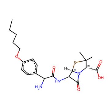 CCCCCOc1ccc(C(N)C(=O)NC2C(=O)N3[C@@H]2SC(C)(C)[C@@H]3C(=O)O)cc1